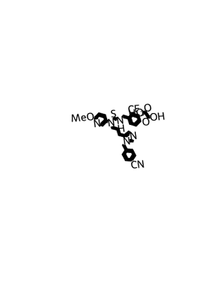 COc1ccc(N(CCCc2cncn2Cc2ccc(C#N)cc2)C(=S)NCc2ccccc2C(F)(F)F)cn1.O=C(O)C(=O)O